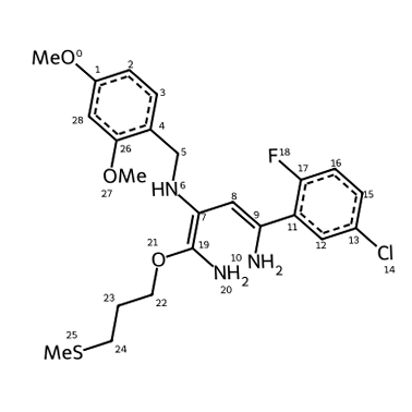 COc1ccc(CNC(/C=C(\N)c2cc(Cl)ccc2F)=C(/N)OCCCSC)c(OC)c1